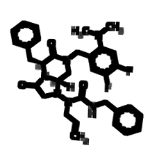 C=CCN(C(=O)NCc1ccccc1)N1CC(=O)N2[C@@H](Cc3ccccc3)C(=O)N(Cc3cc(F)c(F)cc3N(C)C)C[C@@H]21